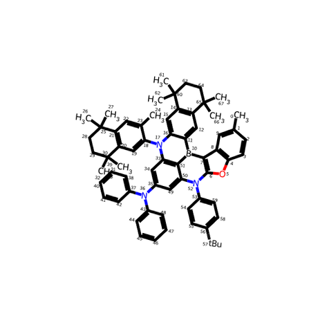 Cc1ccc2oc3c(c2c1)B1c2cc4c(cc2N(c2cc5c(cc2C)C(C)(C)CCC5(C)C)c2cc(N(c5ccccc5)c5ccccc5)cc(c21)N3c1ccc(C(C)(C)C)cc1)C(C)(C)CCC4(C)C